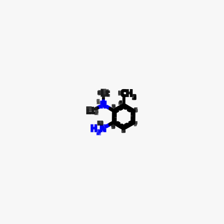 CCN(CC)c1c(C)cccc1N